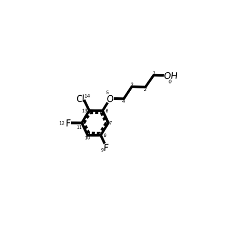 OCCCCOc1cc(F)cc(F)c1Cl